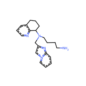 NCCCCN(Cc1cn2ccccc2n1)C1CCCc2cccnc21